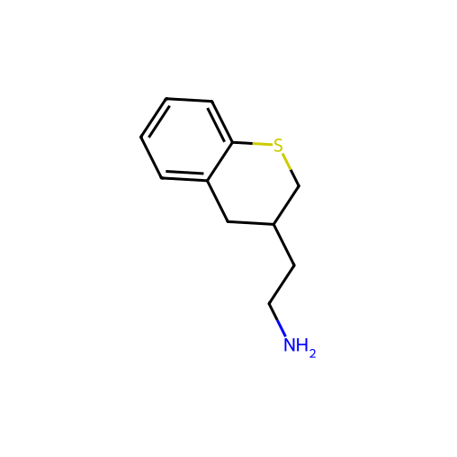 NCCC1CSc2ccccc2C1